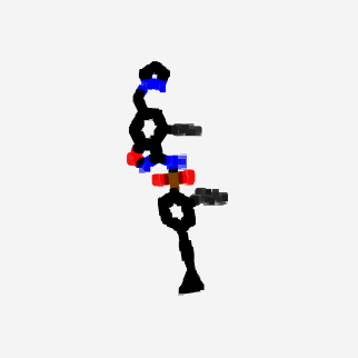 COc1cc(C#CC2CC2)ccc1S(=O)(=O)Nc1noc2cc(Cn3cccn3)cc(OC)c12